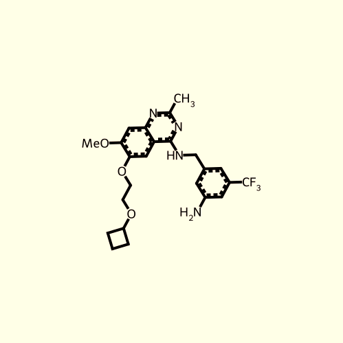 COc1cc2nc(C)nc(NCc3cc(N)cc(C(F)(F)F)c3)c2cc1OCCOC1CCC1